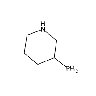 PC1CCCNC1